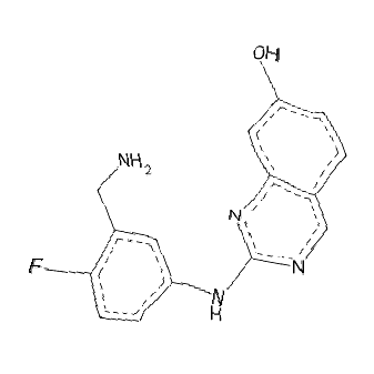 NCc1cc(Nc2ncc3ccc(O)cc3n2)ccc1F